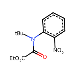 CCOC(=O)C(=O)N(c1ccccc1[N+](=O)[O-])C(C)(C)C